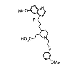 COc1cccc(SCCN2CCC(CC[C@H](F)c3ccnc4ccc(OC)cc34)C(CCC(=O)O)C2)c1